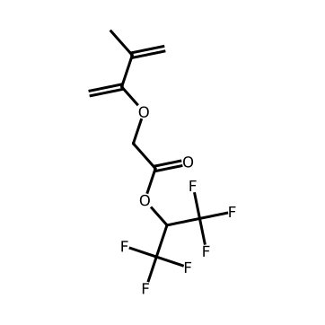 C=C(C)C(=C)OCC(=O)OC(C(F)(F)F)C(F)(F)F